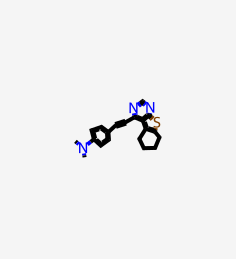 CN(C)c1ccc(C#Cc2ncnc3sc4c(c23)CCCC4)cc1